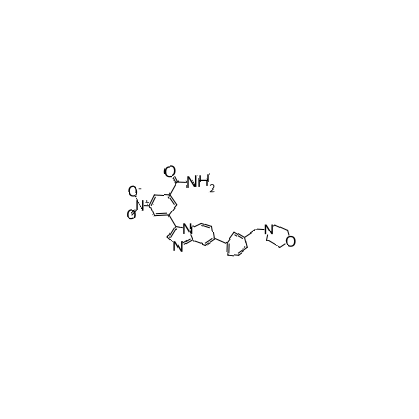 NC(=O)c1cc(-c2cnc3cc(-c4cccc(CN5CCOCC5)c4)ccn23)cc([N+](=O)[O-])c1